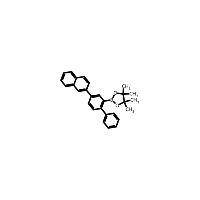 CC1(C)OB(c2cc(-c3ccc4ccccc4c3)ccc2-c2ccccc2)OC1(C)C